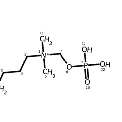 C[N+](C)(CCCN)COP(=O)(O)O